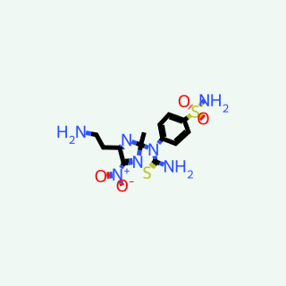 CC1(N(C(N)=S)c2ccc(S(N)(=O)=O)cc2)N=C(CCN)C([N+](=O)[O-])=N1